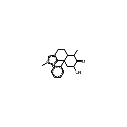 CC1C(=O)C(C#N)CC2(c3ccccc3)c3nn(C)cc3CCC12